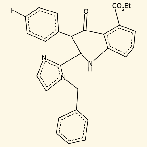 CCOC(=O)c1cccc2c1C(=O)C(c1ccc(F)cc1)C(c1nccn1Cc1ccccc1)N2